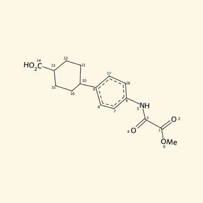 COC(=O)C(=O)Nc1ccc(C2CCC(C(=O)O)CC2)cc1